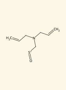 C=CCN(CC=C)C[S+]=O